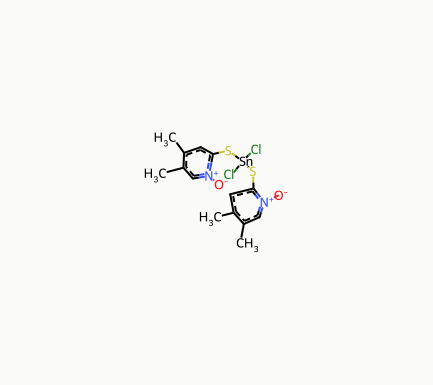 Cc1cc([S][Sn]([Cl])([Cl])[S]c2cc(C)c(C)c[n+]2[O-])[n+]([O-])cc1C